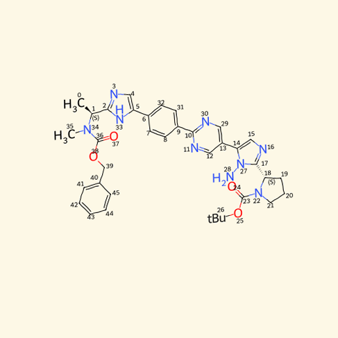 C[C@@H](c1ncc(-c2ccc(-c3ncc(-c4cnc([C@@H]5CCCN5C(=O)OC(C)(C)C)n4N)cn3)cc2)[nH]1)N(C)C(=O)OCc1ccccc1